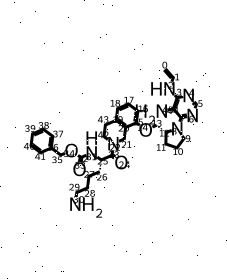 C=CNc1ncnc(N2CCC[C@@H]2COc2cccc3c2CN(C(=O)[C@H](CCCCN)NC(=O)OCc2ccccc2)CC3)c1N